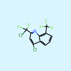 FC(F)(F)c1cccc2c(Cl)cc(C(F)(F)Cl)nc12